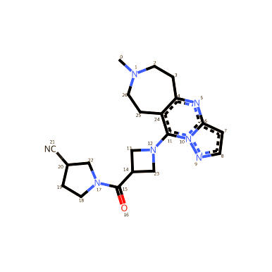 CN1CCc2nc3ccnn3c(N3CC(C(=O)N4CCC(C#N)C4)C3)c2CC1